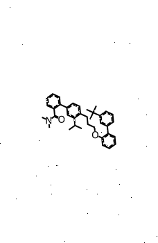 CC(C)c1cc(-c2ccccc2C(=O)N(C)C)ccc1CCCOc1ccccc1-c1cccc(C(C)(C)C)c1